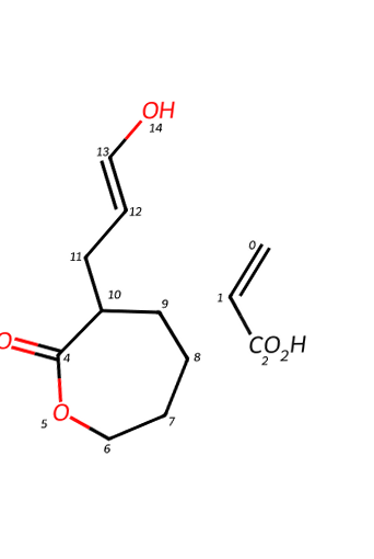 C=CC(=O)O.O=C1OCCCCC1CC=CO